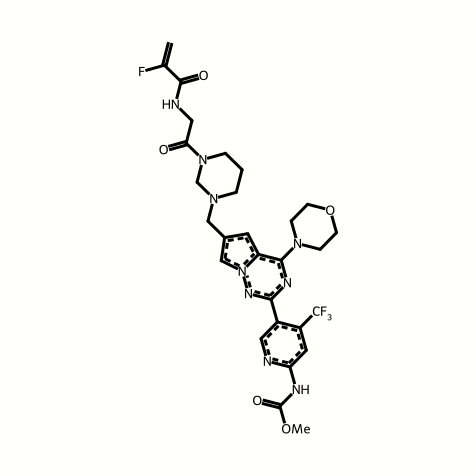 C=C(F)C(=O)NCC(=O)N1CCCN(Cc2cc3c(N4CCOCC4)nc(-c4cnc(NC(=O)OC)cc4C(F)(F)F)nn3c2)C1